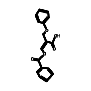 O=C(O)C(=COC(=O)c1ccccc1)COc1ccccc1